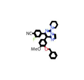 COc1ccc(-c2c(-c3ccc(C#N)c(F)c3)nc(N3CC[CH]CC3)n3ccnc23)cc1OCc1ccccc1